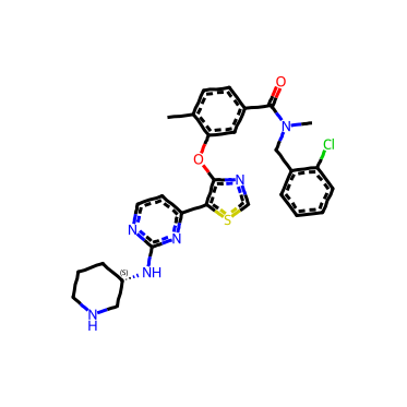 Cc1ccc(C(=O)N(C)Cc2ccccc2Cl)cc1Oc1ncsc1-c1ccnc(N[C@H]2CCCNC2)n1